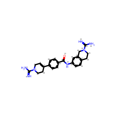 N=C(N)N1CC=C(c2ccc(C(=O)Nc3ccc4c(c3)CN(C(=N)N)CC4)cc2)CC1